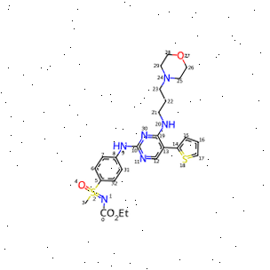 CCOC(=O)N=S(C)(=O)c1ccc(Nc2ncc(-c3cccs3)c(NCCCN3CCOCC3)n2)cc1